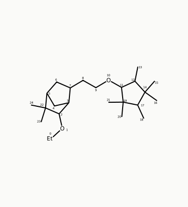 CCOC1C2CC(CC2CCOC2C(C)C(C)(C)C(C)C2(C)C)C1(C)C